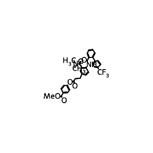 COC(=O)c1ccc(OC(=O)CCc2ccc(NC(=O)c3ccccc3-c3ccc(C(F)(F)F)cc3)c(C(=O)N(C)C)c2)cc1